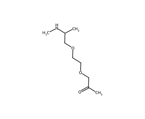 CNC(C)COCCOCC(C)=O